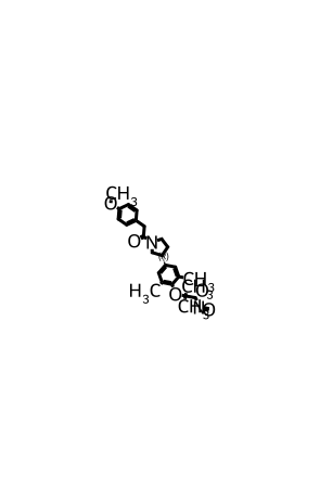 COc1ccc(CC(=O)N2CC[C@H](c3cc(C)c(OC(C)(C)C(=O)N=O)c(C)c3)C2)cc1